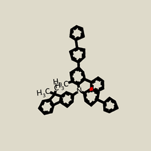 Cc1cc(-c2ccc(-c3ccccc3)cc2)cc(-c2ccccc2)c1N(c1ccc(-c2ccccc2)cc1)c1ccc2c(c1)C(C)(C)c1ccccc1-2